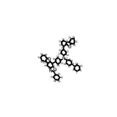 c1ccc(-c2ccc(N(c3ccc(-c4cccc5c4oc4ccccc45)cc3)c3ccc(-c4c5oc(-c6ccccc6)nc5cc5c4oc4ccccc45)cc3)cc2)cc1